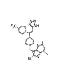 CCc1nc2c(C)cc(C)nc2n1Cc1ccc(C(=Cc2nnn[nH]2)c2ccc(C(F)(F)F)cc2)cc1